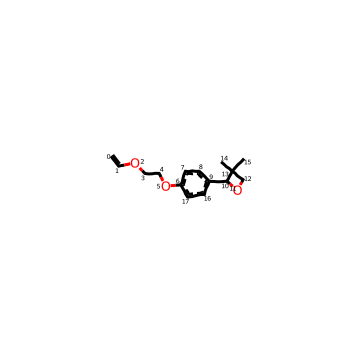 C=COCCOc1ccc(C2OCC2(C)C)cc1